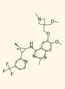 COCC1(COc2cc3c(NC4C(c5cc(C(F)(F)F)ccn5)[C@H]4C)nc(C)nc3cc2OC)CN(C)C1